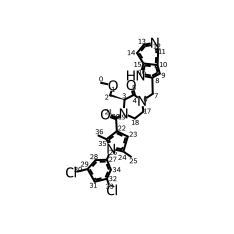 COC[C@H]1C(=O)N(Cc2cc3cnccc3[nH]2)CCN1C(=O)c1cc(C)n(-c2cc(Cl)cc(Cl)c2)c1C